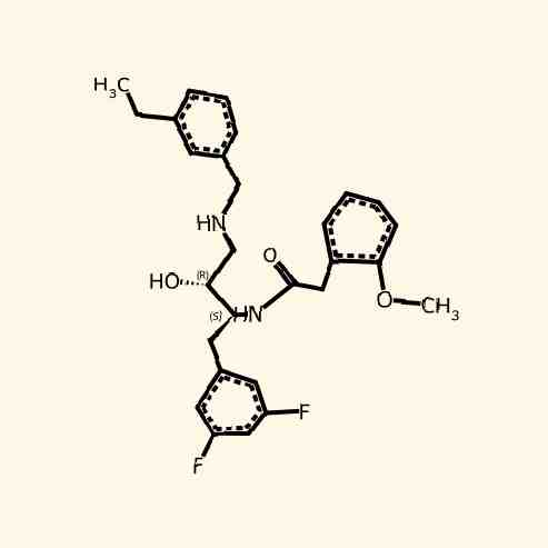 CCc1cccc(CNC[C@@H](O)[C@H](Cc2cc(F)cc(F)c2)NC(=O)Cc2ccccc2OC)c1